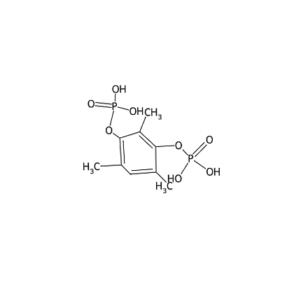 Cc1cc(C)c(OP(=O)(O)O)c(C)c1OP(=O)(O)O